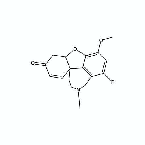 COc1cc(F)c2c3c1OC1CC(=O)C=CC31CCN(C)C2